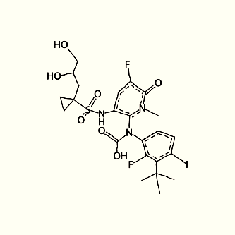 Cn1c(N(C(=O)O)c2ccc(I)c(C(C)(C)C)c2F)c(NS(=O)(=O)C2(CC(O)CO)CC2)cc(F)c1=O